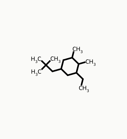 CCC1CC(CC(C)(C)C)CC(C)C1C